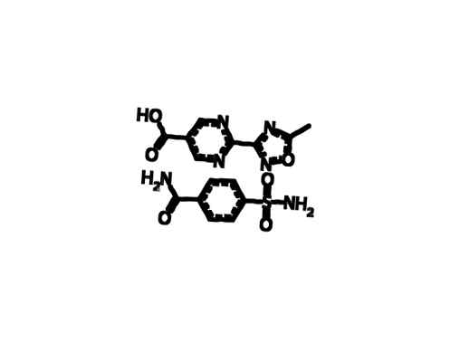 Cc1nc(-c2ncc(C(=O)O)cn2)no1.NC(=O)c1ccc(S(N)(=O)=O)cc1